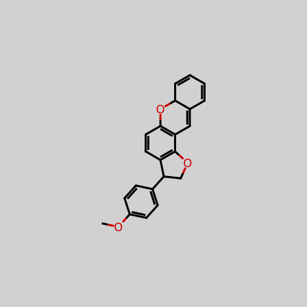 COc1ccc(C2COc3c2ccc2c3C=C3C=CC=CC3O2)cc1